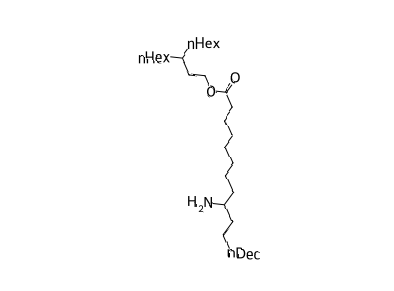 CCCCCCCCCCCCC(N)CCCCCCCC(=O)OCCC(CCCCCC)CCCCCC